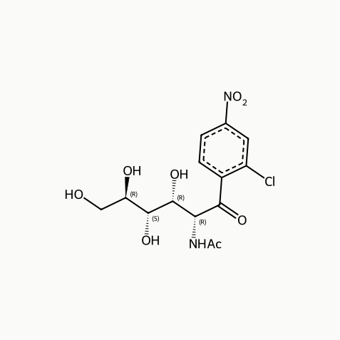 CC(=O)N[C@@H](C(=O)c1ccc([N+](=O)[O-])cc1Cl)[C@@H](O)[C@H](O)[C@H](O)CO